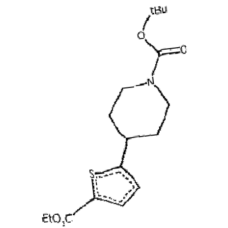 CCOC(=O)c1ccc(C2CCN(C(=O)OC(C)(C)C)CC2)s1